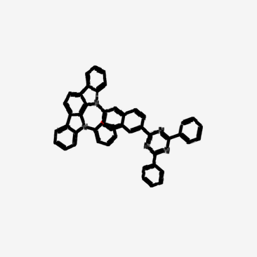 c1ccc(-c2nc(-c3ccccc3)nc(-c3ccc4cc(-n5c6ccccc6c6ccc7c8ccccc8n(-c8ccccc8)c7c65)ccc4c3)n2)cc1